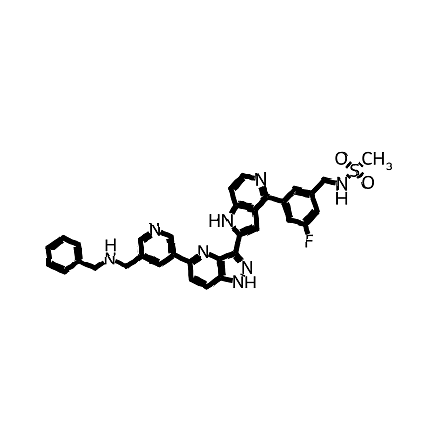 CS(=O)(=O)NCc1cc(F)cc(-c2nccc3[nH]c(-c4n[nH]c5ccc(-c6cncc(CNCc7ccccc7)c6)nc45)cc23)c1